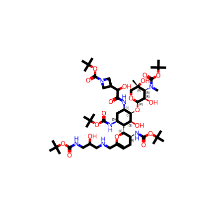 CN(C(=O)OC(C)(C)C)[C@@H]1[C@@H](O)[C@@H](O[C@H]2[C@H](NC(=O)C(O)C3CN(C(=O)OC(C)(C)C)C3)C[C@H](NC(=O)OC(C)(C)C)C([C@H]3OC(CNCC(O)CNC(=O)OC(C)(C)C)=CC[C@H]3NC(=O)OC(C)(C)C)[C@@H]2O)OC[C@]1(C)O